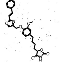 COc1cc(CCCCC2OC(=O)NC2=O)ccc1OCc1coc(C=Cc2ccccc2)n1